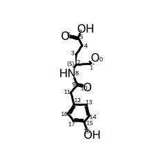 O=[C][C@H](CCC(=O)O)NC(=O)Cc1ccc(O)cc1